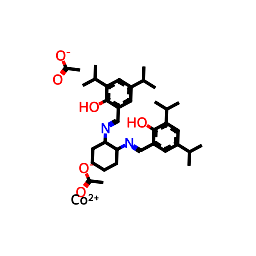 CC(=O)[O-].CC(=O)[O-].CC(C)c1cc(C=NC2CCCCC2N=Cc2cc(C(C)C)cc(C(C)C)c2O)c(O)c(C(C)C)c1.[Co+2]